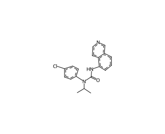 CC(C)N(C(=O)Nc1cccc2cnccc12)c1ccc(Cl)cc1